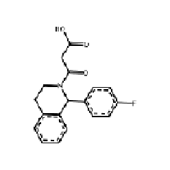 O=C(O)CC(=O)N1CCc2ccccc2C1c1ccc(F)cc1